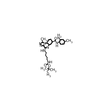 Cc1ccc(NC(=O)c2ccc3c(c2)nc(NCCCCNC(=O)OC(C)(C)C)c2nnc(C)n23)c(N)c1